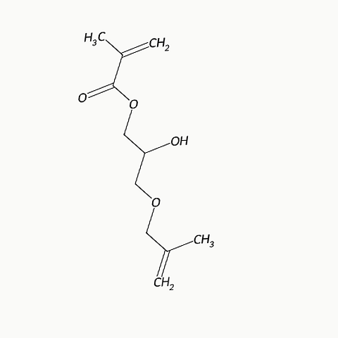 C=C(C)COCC(O)COC(=O)C(=C)C